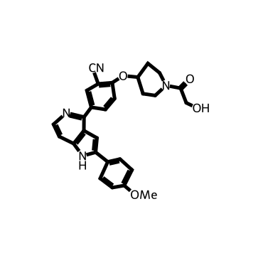 COc1ccc(-c2cc3c(-c4ccc(OC5CCN(C(=O)CO)CC5)c(C#N)c4)nccc3[nH]2)cc1